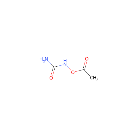 CC(=O)ONC(N)=O